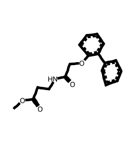 COC(=O)CCNC(=O)COc1ccccc1-c1ccccc1